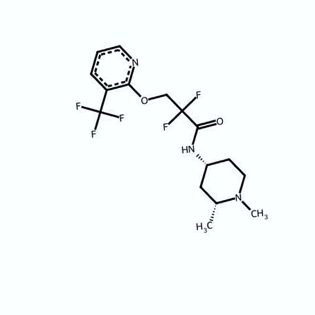 C[C@@H]1C[C@H](NC(=O)C(F)(F)COc2ncccc2C(F)(F)F)CCN1C